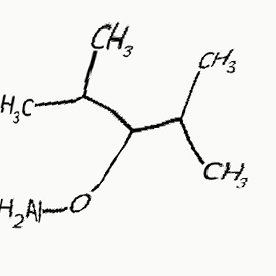 CC(C)C([O][AlH2])C(C)C